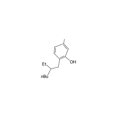 CCCCC(CC)Cc1ccc(C)cc1O